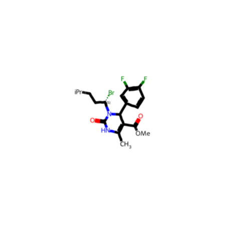 COC(=O)C1=C(C)NC(=O)N([C@@H](Br)CCC(C)C)C1c1ccc(F)c(F)c1